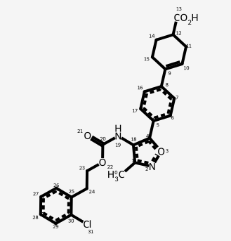 Cc1noc(-c2ccc(C3=CCC(C(=O)O)CC3)cc2)c1NC(=O)OCCc1ccccc1Cl